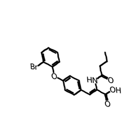 CCCC(=O)N/C(=C\c1ccc(Oc2ccccc2Br)cc1)C(=O)O